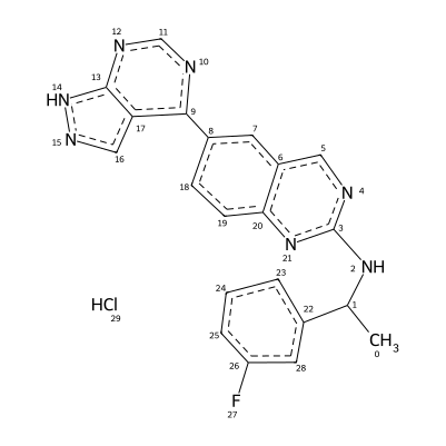 CC(Nc1ncc2cc(-c3ncnc4[nH]ncc34)ccc2n1)c1cccc(F)c1.Cl